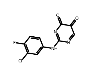 O=C1C=NC(Nc2ccc(F)c(Cl)c2)=NC1=O